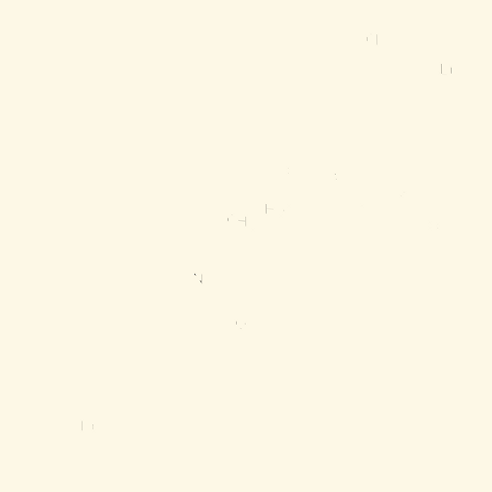 CCc1cc2c(cc1Cl)C(=O)/C(=C\C(C)=C\c1oc(-c3ccc(C)cc3)nc1C)C2=O